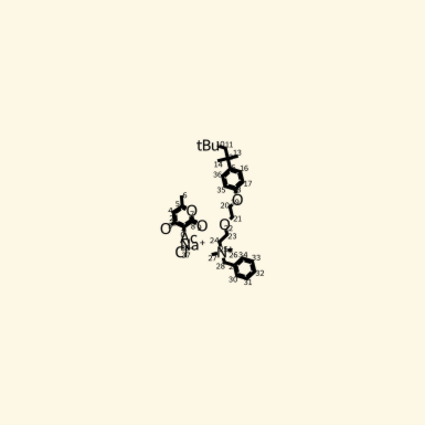 CC(=O)c1c([O-])cc(C)oc1=O.CC(C)(C)CC(C)(C)c1ccc(OCCOCC[N+](C)(C)Cc2ccccc2)cc1.[Cl-].[Na+]